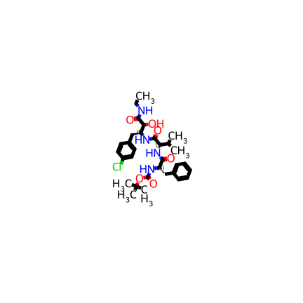 CCNC(=O)C(O)[C@H](Cc1ccc(Cl)cc1)NC(=O)[C@@H](NC(=O)[C@H](Cc1ccccc1)NC(=O)OC(C)(C)C)C(C)C